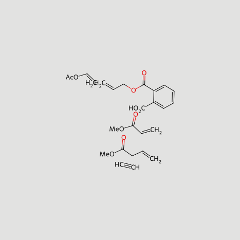 C#C.C=CC(=O)OC.C=CCC(=O)OC.C=CCOC(=O)c1ccccc1C(=O)O.C=COC(C)=O